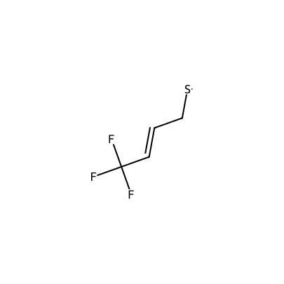 FC(F)(F)C=CC[S]